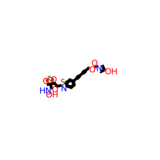 CC(CCc1nc2ccc(C#CC#CCOC(=O)N3CC(O)C3)cc2s1)(C(=O)NO)S(C)(=O)=O